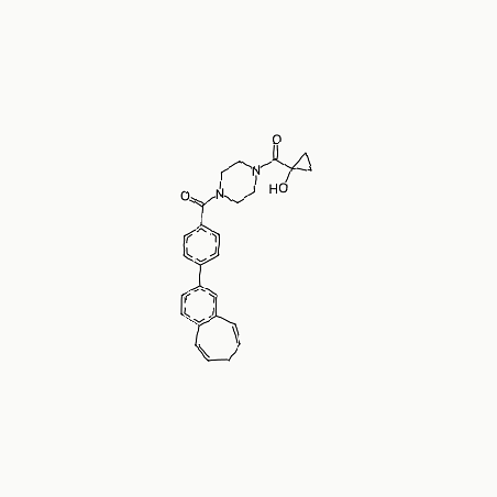 O=C(c1ccc(-c2ccc3c(c2)C=CCC=C3)cc1)N1CCN(C(=O)C2(O)CC2)CC1